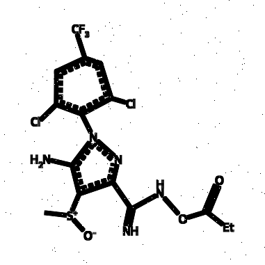 CCC(=O)ONC(=N)c1nn(-c2c(Cl)cc(C(F)(F)F)cc2Cl)c(N)c1[S+](C)[O-]